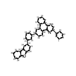 c1ccc(-c2cnc3c4ccccc4c4cc(-c5cccc(-c6ccc7oc8ccccc8c7c6)c5)ccc4c3n2)cc1